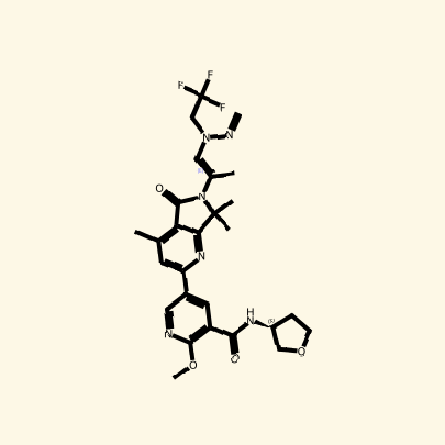 C=NN(/C=C(\C)N1C(=O)c2c(C)cc(-c3cnc(OC)c(C(=O)N[C@H]4CCOC4)c3)nc2C1(C)C)CC(F)(F)F